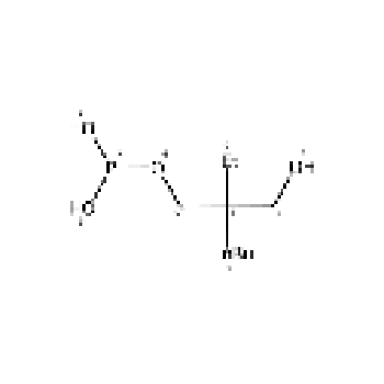 CCCCC(CC)(CO)COP(O)O